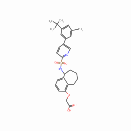 Cc1cc(-c2ccc(S(=O)(=O)NC3CCCCc4c(OCC(=O)O)cccc43)nc2)cc(C(C)(C)C)c1